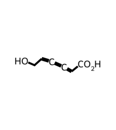 O=C(O)C=C=C=CCO